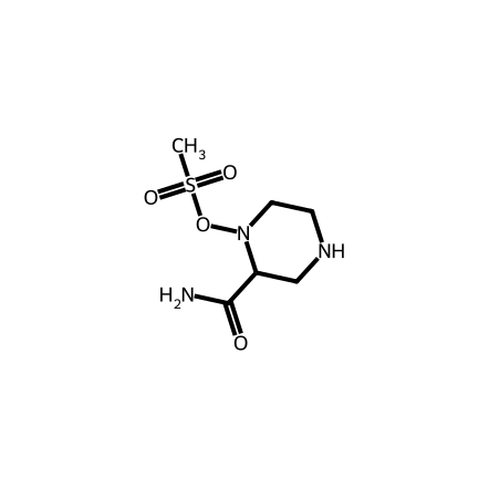 CS(=O)(=O)ON1CCNCC1C(N)=O